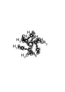 CCOP(C)(=O)c1cc(C#Cc2ccc(OC)cc2)cc(CN2CCN(Cc3cc(C#Cc4ccc(OC)cc4)cc(P(C)(=O)OCC)n3)C[C@H](CCCCN)N(Cc3cc(C#Cc4ccc(OC)cc4)cc(P(C)(=O)OCC)n3)CC2)n1